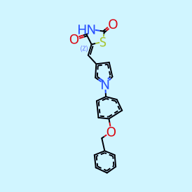 O=C1NC(=O)/C(=C/c2ccn(-c3ccc(OCc4ccccc4)cc3)c2)S1